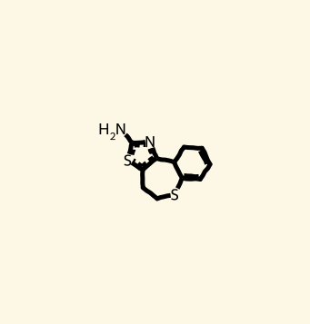 Nc1nc2c(s1)CCSC1=CC=CCC12